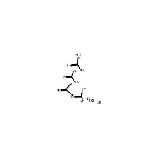 CCCC(=N)N.CCCC(=N)N.CCCC(=N)N.CCCC(=N)N.Cl.Cl.Cl.Cl